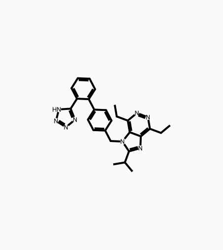 CCc1nnc(CC)c2c1nc(C(C)C)n2Cc1ccc(-c2ccccc2-c2nnn[nH]2)cc1